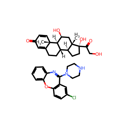 C[C@]12C=CC(=O)C=C1CC[C@@H]1[C@@H]2[C@@H](O)C[C@@]2(C)[C@H]1CC[C@]2(O)C(=O)CO.Clc1ccc2c(c1)C(N1CCNCC1)=Nc1ccccc1O2